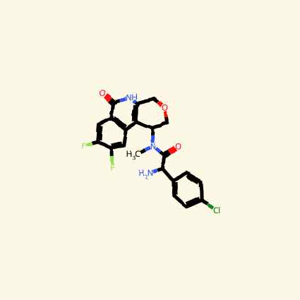 CN(C(=O)C(N)c1ccc(Cl)cc1)C1COCc2[nH]c(=O)c3cc(F)c(F)cc3c21